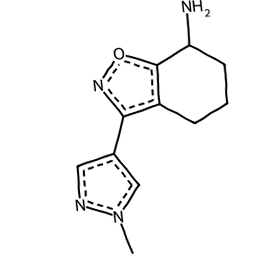 Cn1cc(-c2noc3c2CCCC3N)cn1